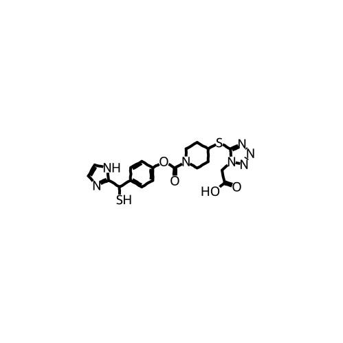 O=C(O)Cn1nnnc1SC1CCN(C(=O)Oc2ccc(C(S)c3ncc[nH]3)cc2)CC1